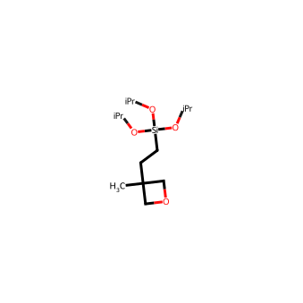 CC(C)O[Si](CCC1(C)COC1)(OC(C)C)OC(C)C